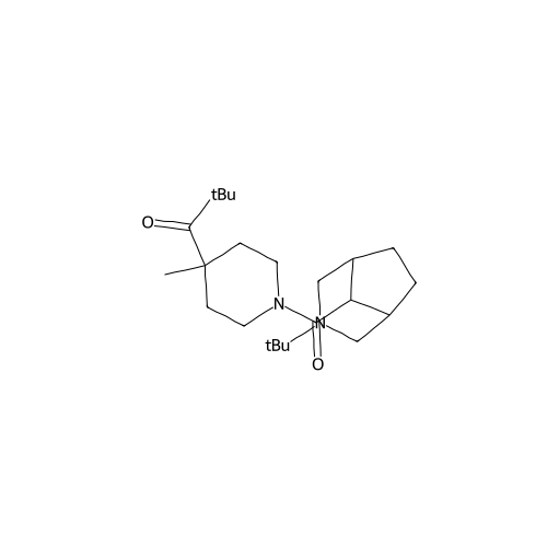 CC(C)(C)C(=O)C1(C)CCN(C(=O)C2C3CCC2CN(C(C)(C)C)C3)CC1